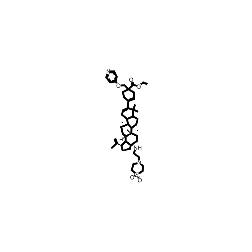 C=C(C)[C@@H]1CC[C@]2(NCCN3CCS(=O)(=O)CC3)CC[C@]3(C)[C@H](CCC4[C@@]5(C)CC=C(C6=CCC(COc7ccncc7)(C(=O)OCC)CC6)C(C)(C)C5CC[C@]43C)C12